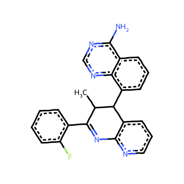 CC1C(c2ccccc2F)=Nc2ncccc2C1c1cccc2c(N)ncnc12